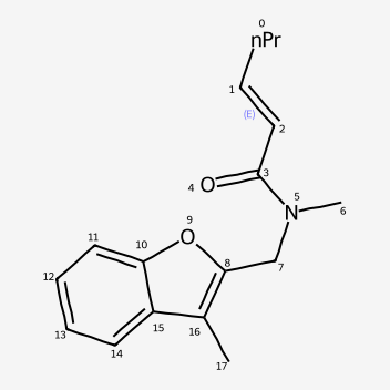 CCC/C=C/C(=O)N(C)Cc1oc2ccccc2c1C